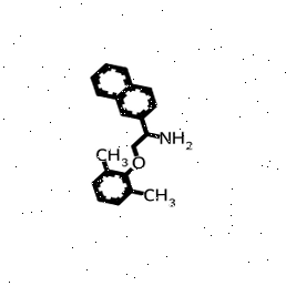 Cc1cccc(C)c1OCC(N)c1ccc2ccccc2c1